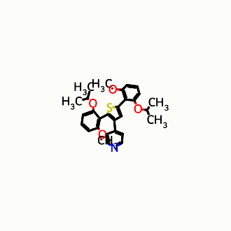 COc1cccc(OC(C)C)c1-c1cc(-c2ccncc2)c(-c2c(OC)cccc2OC(C)C)s1